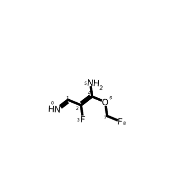 N=C/C(F)=C(\N)OCF